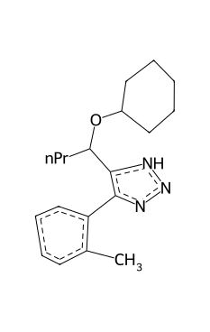 CCCC(OC1CCCCC1)c1[nH]nnc1-c1ccccc1C